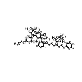 CCOC(=O)C[C@@H]1O[C@@H](c2cccc(OCCCN(CCCc3ccccc3)C(=O)OC(C)(C)C)c2OC)c2cc(Cl)ccc2N(CC(C)(C)C)C1=O